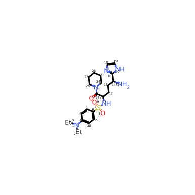 CCN(CC)c1ccc(S(=O)(=O)NC(CCC(N)c2ncc[nH]2)C(=O)N2CCCCC2)cc1